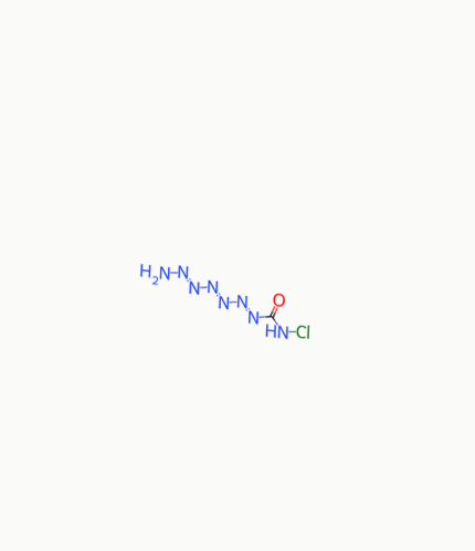 NN=NN=NN=NC(=O)NCl